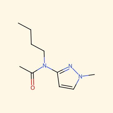 CCCCN(C(C)=O)c1ccn(C)n1